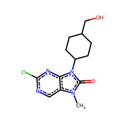 Cn1c(=O)n(C2CCC(CO)CC2)c2nc(Cl)ncc21